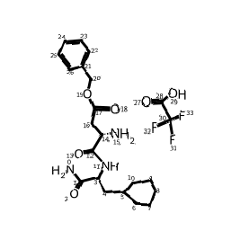 NC(=O)[C@H](CC1CCCCC1)NC(=O)[C@@H](N)CC(=O)OCc1ccccc1.O=C(O)C(F)(F)F